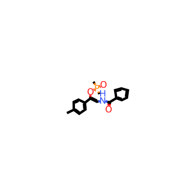 Cc1ccc(C(=CNC(=O)c2ccccc2)OP(C)(C)=O)cc1